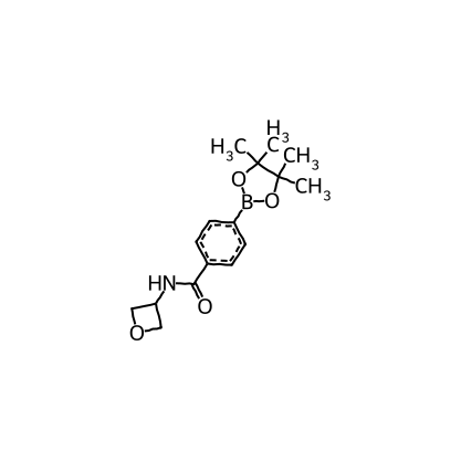 CC1(C)OB(c2ccc(C(=O)NC3COC3)cc2)OC1(C)C